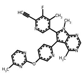 C#Cc1ncc(-c2c(-c3ccc(Oc4nccc(C)n4)cn3)c3c(C)ncnc3n2C)c(C)c1F